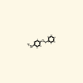 F[B]c1ccc(OCc2ccccc2)cc1